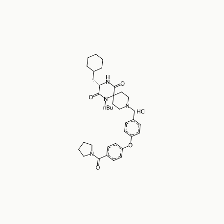 CCCCN1C(=O)[C@H](CC2CCCCC2)NC(=O)C12CCN(Cc1ccc(Oc3ccc(C(=O)N4CCCC4)cc3)cc1)CC2.Cl